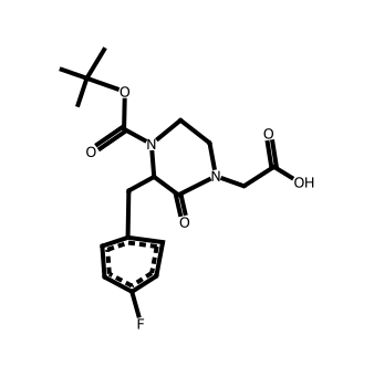 CC(C)(C)OC(=O)N1CCN(CC(=O)O)C(=O)C1Cc1ccc(F)cc1